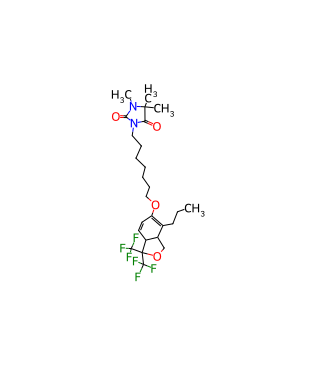 CCCC1=C(OCCCCCCCN2C(=O)N(C)C(C)(C)C2=O)C=CC2C1COC2(C(F)(F)F)C(F)(F)F